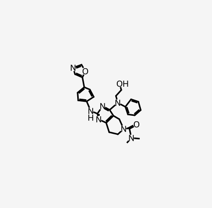 CN(C)C(=O)N1CCc2nc(Nc3ccc(-c4cnco4)cc3)nc(N(CCO)c3ccccc3)c2C1